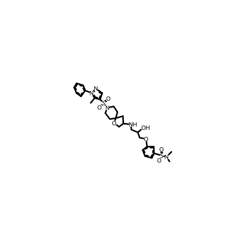 Cc1c(S(=O)(=O)N2CCC3(CC2)CC(NCC(O)COc2cccc(S(=O)(=O)N(C)C)c2)CO3)cnn1-c1ccccc1